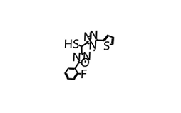 Cn1c(-c2cccs2)nnc1C(S)c1noc(-c2ccccc2F)n1